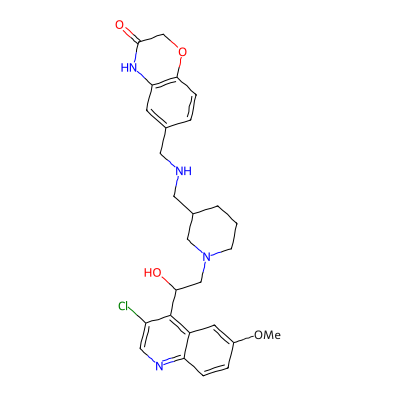 COc1ccc2ncc(Cl)c(C(O)CN3CCCC(CNCc4ccc5c(c4)NC(=O)CO5)C3)c2c1